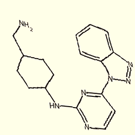 NCC1CCC(Nc2nccc(-n3nnc4ccccc43)n2)CC1